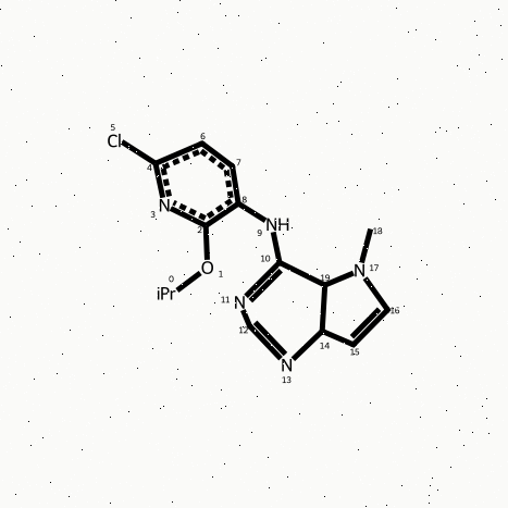 CC(C)Oc1nc(Cl)ccc1NC1=NC=NC2C=CN(C)C12